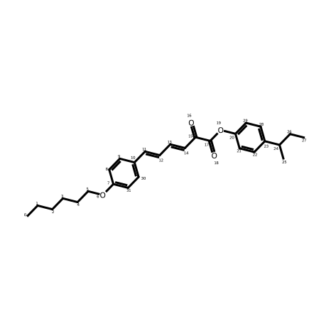 CCCCCCOc1ccc(/C=C/C=C/C(=O)C(=O)Oc2ccc(C(C)CC)cc2)cc1